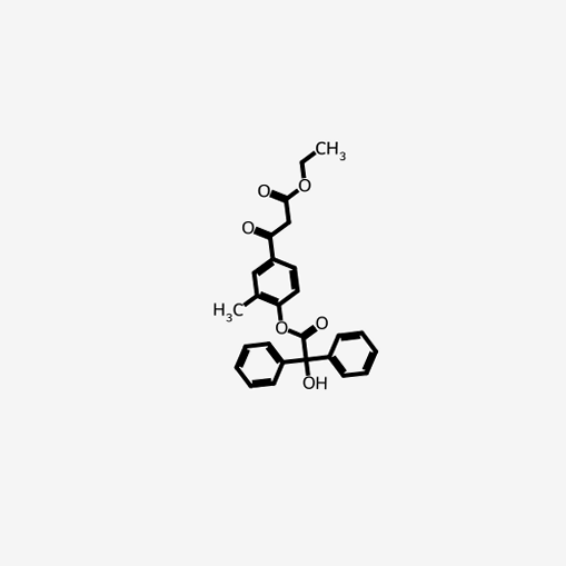 CCOC(=O)CC(=O)c1ccc(OC(=O)C(O)(c2ccccc2)c2ccccc2)c(C)c1